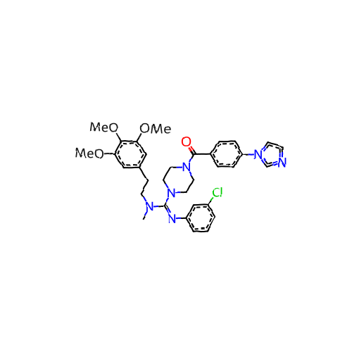 COc1cc(CCN(C)C(=Nc2cccc(Cl)c2)N2CCN(C(=O)c3ccc(-n4ccnc4)cc3)CC2)cc(OC)c1OC